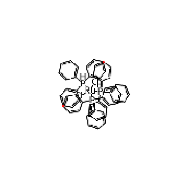 [Cl][Ru]([Cl])([PH](c1ccccc1)(c1ccccc1)c1ccccc1)([PH](c1ccccc1)(c1ccccc1)c1ccccc1)[PH](c1ccccc1)(c1ccccc1)c1ccccc1